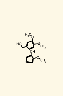 COc1ccc(CO)cc1OC.COc1ccccc1O